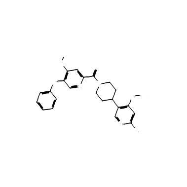 COc1cc(C(=O)N2CCC(c3cnc(N)cc3OC)CC2)ncc1Oc1ccccc1